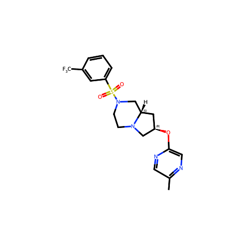 Cc1cnc(O[C@@H]2C[C@H]3CN(S(=O)(=O)c4cccc(C(F)(F)F)c4)CCN3C2)cn1